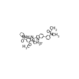 C=CC(=O)N(C)c1cccc(-c2ccc3cc(-c4nc5cc(C(=O)N6CC7CCC6C7N)cc(OC)c5n4C)n(CC4CC4)c3c2)c1